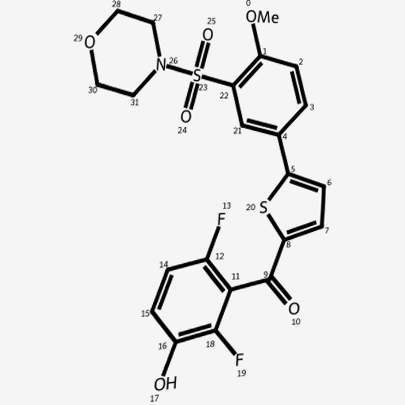 COc1ccc(-c2ccc(C(=O)c3c(F)ccc(O)c3F)s2)cc1S(=O)(=O)N1CCOCC1